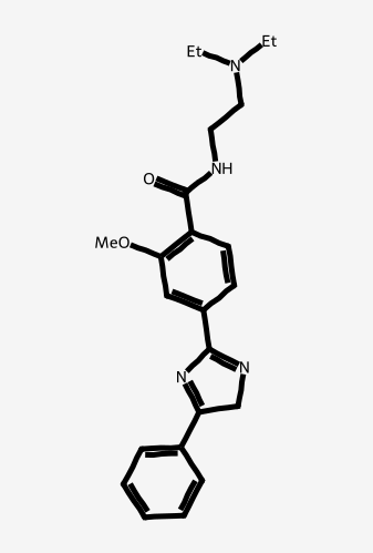 CCN(CC)CCNC(=O)c1ccc(C2=NCC(c3ccccc3)=N2)cc1OC